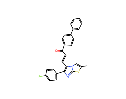 Cc1cn2c(C=CC(=O)c3ccc(-c4ccccc4)cc3)c(-c3ccc(F)cc3)nc2s1